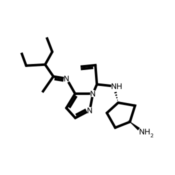 C=CC(N[C@H]1CC[C@H](N)C1)n1nccc1/N=C(\C)C(CC)CC